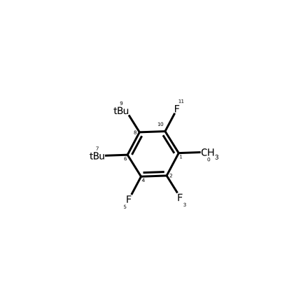 Cc1c(F)c(F)c(C(C)(C)C)c(C(C)(C)C)c1F